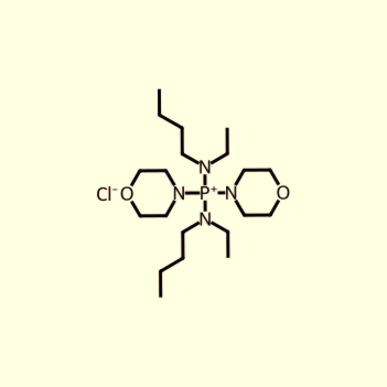 CCCCN(CC)[P+](N(CC)CCCC)(N1CCOCC1)N1CCOCC1.[Cl-]